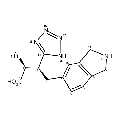 CCC[C@H](C(=O)O)[C@H](Cc1ccc2c(c1)CNC2)c1nnn[nH]1